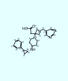 O=C(O)CC1(N2CCC(N[C@@H]3CC3c3ccccc3)CC2)CN(Cc2cncnc2)C1